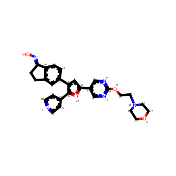 ON=C1CCc2cc(-c3cc(-c4cnc(OCCN5CCOCC5)nc4)oc3-c3ccncc3)ccc21